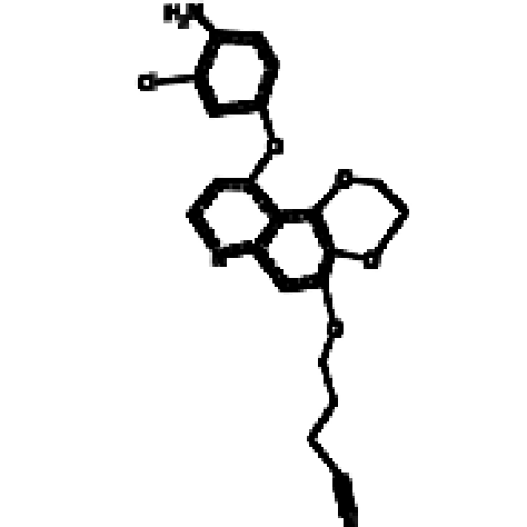 N#CCCCOc1cc2nccc(Oc3ccc(N)c(Cl)c3)c2c2c1OCCO2